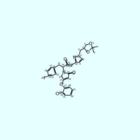 CC1(C)OCC(Cn2ccc(NC(=O)C(Cc3ccc(F)cc3)N3CC(Oc4ccccc4Cl)=CC3=O)n2)O1